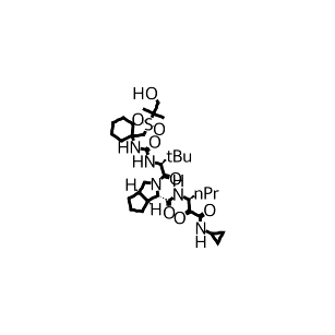 CCC[C@H](NC(=O)[C@@H]1[C@H]2CCC[C@H]2CN1C(=O)[C@@H](NC(=O)NC1(CS(=O)(=O)C(C)(C)CO)CCCCC1)C(C)(C)C)C(=O)C(=O)NC1CC1